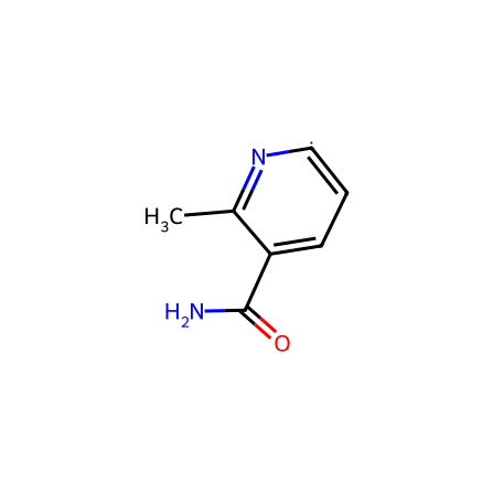 Cc1n[c]ccc1C(N)=O